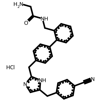 Cl.N#Cc1ccc(Cc2cnc(Cc3ccc(-c4ccccc4CNC(=O)CN)cc3)[nH]2)cc1